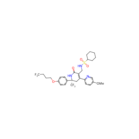 COc1ccc(C2=C(CNS(=O)(=O)C3CCCCC3)C(=O)N[C@@](c3ccc(OCCCC(F)(F)F)cc3)(C(F)(F)F)C2)nc1